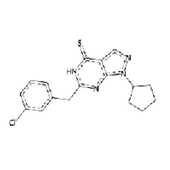 S=c1[nH]c(Cc2cccc(Cl)c2)nc2c1cnn2C1CCCC1